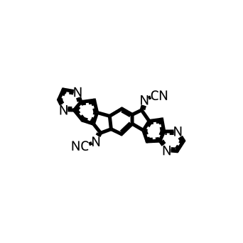 N#C/N=C1/C2=CC3c4cc5nccnc5cc4/C(=N\C#N)C3C=C2c2cc3nccnc3cc21